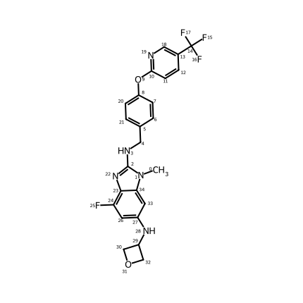 Cn1c(NCc2ccc(Oc3ccc(C(F)(F)F)cn3)cc2)nc2c(F)cc(NC3COC3)cc21